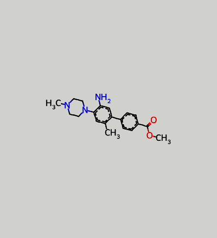 COC(=O)c1ccc(-c2cc(N)c(N3CCN(C)CC3)cc2C)cc1